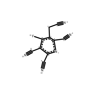 N#CCc1c(C#N)nc(C#N)c(C#N)c1F